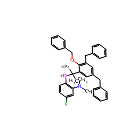 CCCC(C)(Pc1ccc(F)cc1N(C)C)c1cc(Cc2ccccc2)cc(Cc2ccccc2)c1OCc1ccccc1